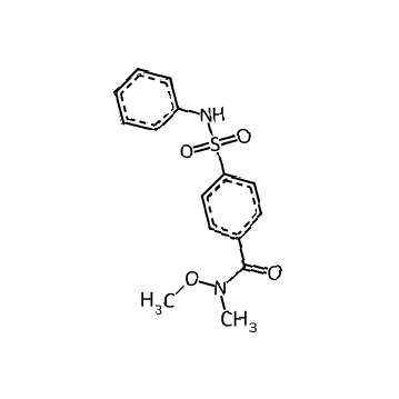 CON(C)C(=O)c1ccc(S(=O)(=O)Nc2ccccc2)cc1